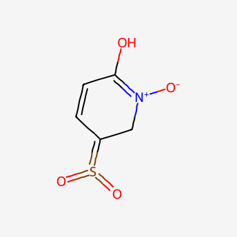 O=S(=O)=C1C=CC(O)=[N+]([O-])C1